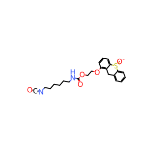 O=C=NCCCCCCNC(=O)OCCOc1cccc2c1Cc1ccccc1[S+]2[O-]